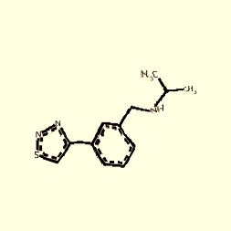 CC(C)NCc1cccc(-c2csnn2)c1